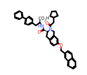 O=C(O)[C@H](Cc1ccc(-c2ccccc2)cc1)NC(=O)[C@@H]1Cc2ccc(OCc3ccc4ccccc4c3)cc2CN1C(=O)CC1CCCC1